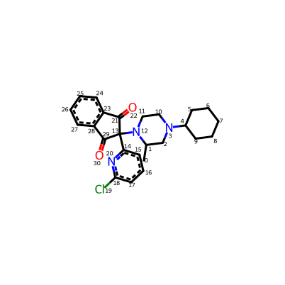 CC1CN(C2CCCCC2)CCN1C1(c2cccc(Cl)n2)C(=O)c2ccccc2C1=O